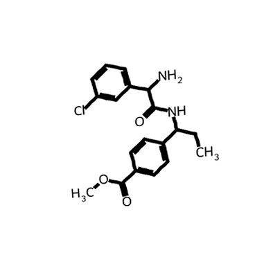 CCC(NC(=O)C(N)c1cccc(Cl)c1)c1ccc(C(=O)OC)cc1